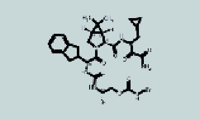 CC(C)NC(=O)OC[C@@H](NC(=O)N[C@H](C(=O)N1C[C@H]2[C@@H]([C@H]1C(=O)NC(CC1CC1)C(=O)C(N)=O)C2(C)C)C1Cc2ccccc2C1)C(C)C